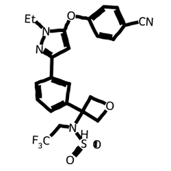 CCn1nc(-c2cccc(C3(N(CC(F)(F)F)[SH](=O)=O)COC3)c2)cc1Oc1ccc(C#N)cc1